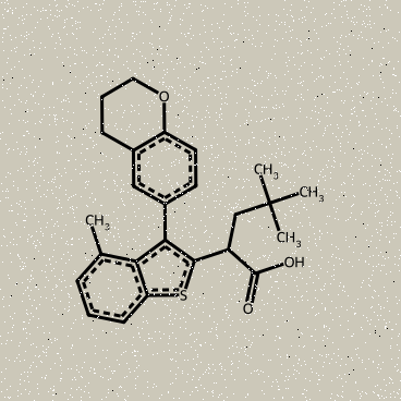 Cc1cccc2sc(C(CC(C)(C)C)C(=O)O)c(-c3ccc4c(c3)CCCO4)c12